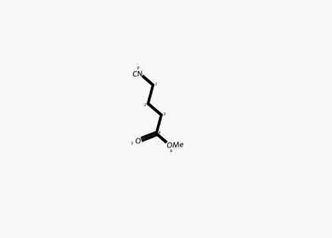 [C-]#[N+]CCCC(=O)OC